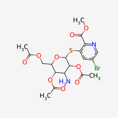 COC(=O)c1ncc(Br)cc1SC1OC(COC(C)=O)C(OC(C)=O)C(N)C1OC(C)=O